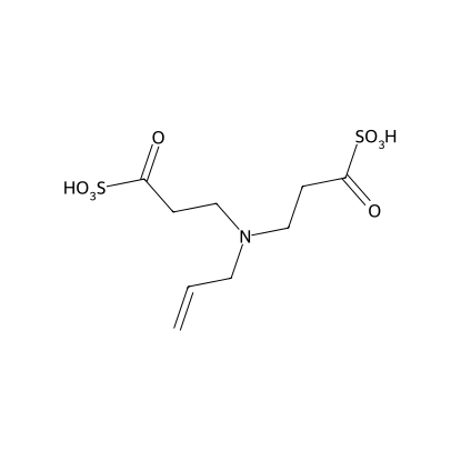 C=CCN(CCC(=O)S(=O)(=O)O)CCC(=O)S(=O)(=O)O